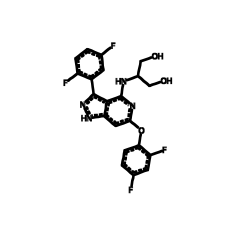 OCC(CO)Nc1nc(Oc2ccc(F)cc2F)cc2[nH]nc(-c3cc(F)ccc3F)c12